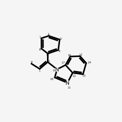 CC=C(c1ccccc1)n1cnc2ccccc21